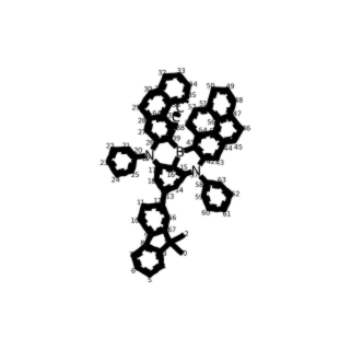 CC1(C)c2ccccc2-c2ccc(-c3cc4c5c(c3)N(c3ccccc3)c3cc6ccc7cccc8ccc(c3B5c3c(cc5ccc9cccc%10ccc3c5c9%10)N4c3ccccc3)c6c78)cc21